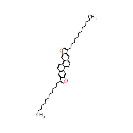 CCCCCCCCCCCCc1coc2cc3c(ccc4c5cc6occ(CCCCCCCCCCCC)c6cc5ccc34)cc12